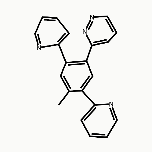 Cc1cc(-c2ccccn2)c(-c2cccnn2)cc1-c1ccccn1